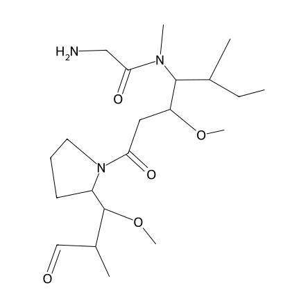 CCC(C)C(C(CC(=O)N1CCCC1C(OC)C(C)C=O)OC)N(C)C(=O)CN